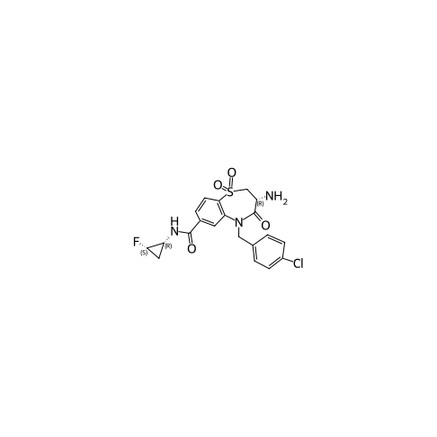 N[C@H]1CS(=O)(=O)c2ccc(C(=O)N[C@@H]3C[C@@H]3F)cc2N(Cc2ccc(Cl)cc2)C1=O